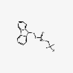 CC(C)(S)CNC(=O)OCC1c2ccccc2-c2ccccc21